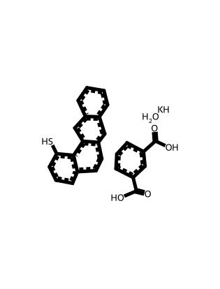 O.O=C(O)c1cccc(C(=O)O)c1.Sc1cccc2ccc3cc4ccccc4cc3c12.[KH]